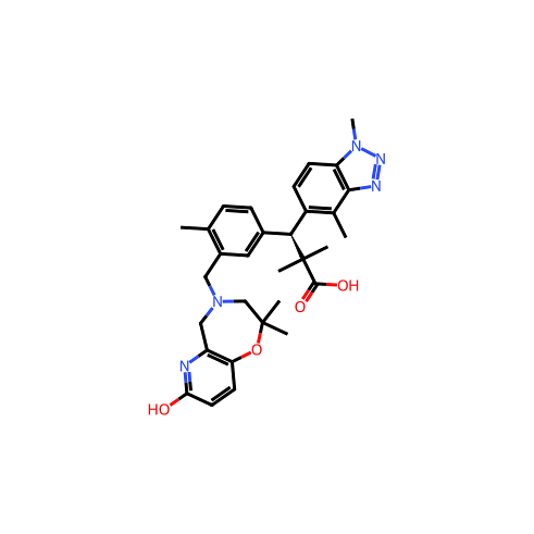 Cc1ccc([C@@H](c2ccc3c(nnn3C)c2C)C(C)(C)C(=O)O)cc1CN1Cc2nc(O)ccc2OC(C)(C)C1